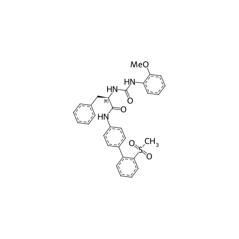 COc1ccccc1NC(=O)N[C@H](Cc1ccccc1)C(=O)Nc1ccc(-c2ccccc2S(C)(=O)=O)cc1